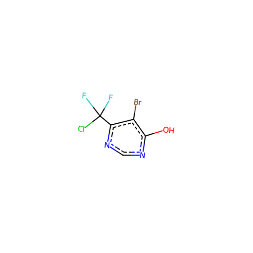 Oc1ncnc(C(F)(F)Cl)c1Br